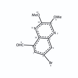 COc1nc2cc(Br)cc(C=O)c2nc1OC